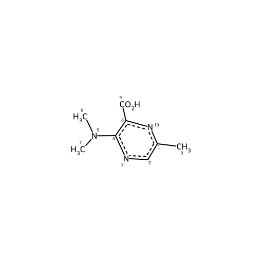 Cc1cnc(N(C)C)c(C(=O)O)n1